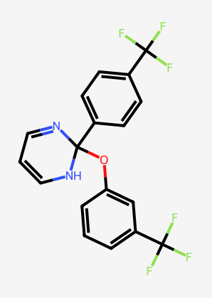 FC(F)(F)c1ccc(C2(Oc3cccc(C(F)(F)F)c3)N=CC=CN2)cc1